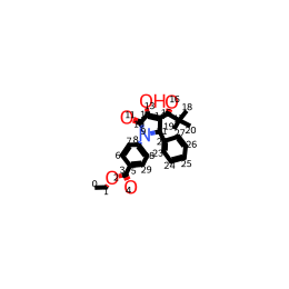 CCOC(=O)c1ccc(N2C(=O)C(O)=C(C(=O)C(C)(C)C)C2c2ccccc2)cc1